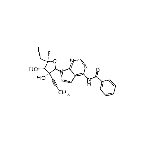 CC#C[C@]1(O)C(n2ccc3c(NC(=O)c4ccccc4)ncnc32)O[C@](F)(CI)[C@H]1O